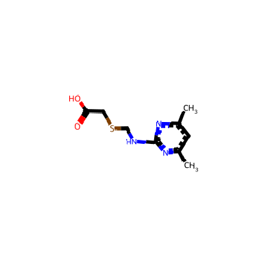 Cc1cc(C)nc(NCSCC(=O)O)n1